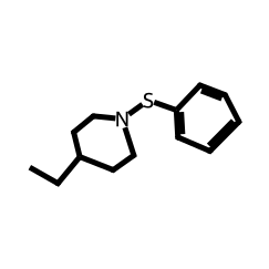 CCC1CCN(Sc2ccccc2)CC1